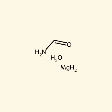 NC=O.O.[MgH2]